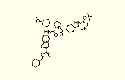 COC1CCC([C@@H]2CCN(C(=O)[C@H]3CC[C@H]([C@@H](CF)NC(=O)OC(C)(C)C)CC3)[C@@H]2C(=O)Nc2ccc3oc(C(=O)OCC4CCCCC4)cc3c2)CC1